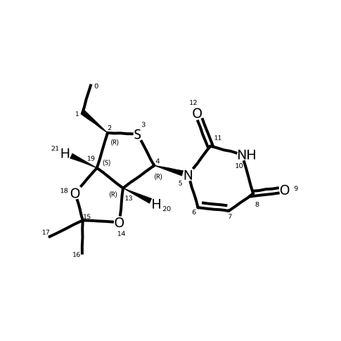 CC[C@H]1S[C@@H](n2ccc(=O)[nH]c2=O)[C@@H]2OC(C)(C)O[C@@H]21